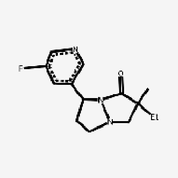 CCC1(C)CN2CCC(c3cncc(F)c3)N2C1=O